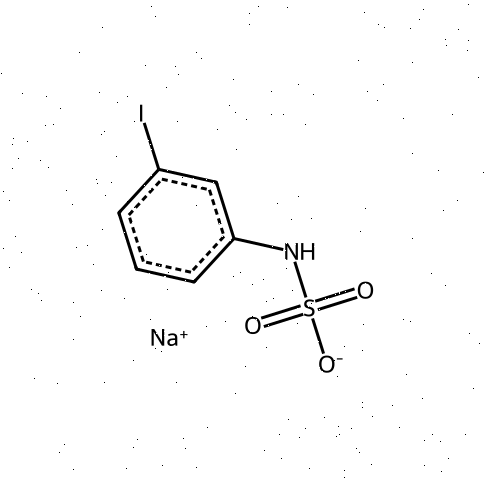 O=S(=O)([O-])Nc1cccc(I)c1.[Na+]